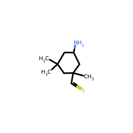 CC1(C)CC(N)CC(C)(C=S)C1